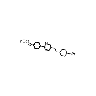 CCCCCCCCOc1ccc(-c2ccc(CC[C@H]3CC[C@H](CCC)CC3)cn2)cc1